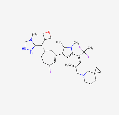 C=C(/C=C(\C1=CC(C2=CC(I)CCC([C@@H](C3COC3)[C@H]3NNCN3C)C2)C(C)N1C)C(C)(I)I)CN1CCCC2(CC2)C1